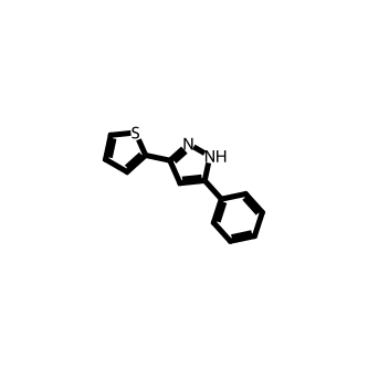 c1ccc(-c2cc(-c3cccs3)n[nH]2)cc1